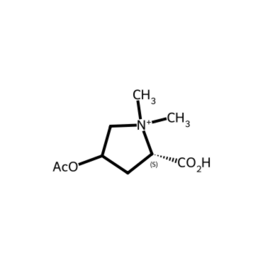 CC(=O)OC1C[C@@H](C(=O)O)[N+](C)(C)C1